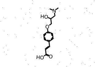 CN(C)CC(O)COc1ccc(C=CC(=O)O)cc1